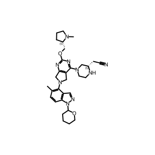 Cc1ccc2c(cnn2C2CCCCO2)c1N1Cc2nc(OC[C@@H]3CCCN3C)nc(N3CCN[C@@H](CC#N)C3)c2C1